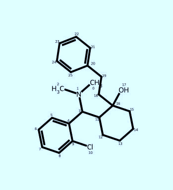 CN(C)C(c1ccccc1Cl)C1CCCCC1(O)CCc1ccccc1